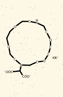 O=C([O-])C(C(=O)[O-])N1CCOCCOCCNCCOCCOCC1.[K+].[K+]